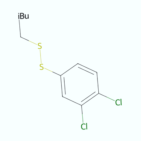 CCC(C)CSSc1ccc(Cl)c(Cl)c1